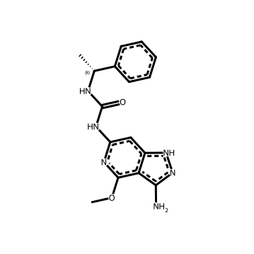 COc1nc(NC(=O)N[C@H](C)c2ccccc2)cc2[nH]nc(N)c12